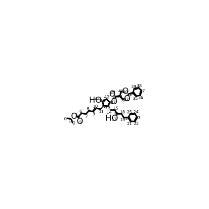 CC(C)OC(=O)CCCC=CC[C@@H]1[C@@H](CC[C@@H](O)CCc2ccccc2)[C@H](OC(=O)C2COC(c3ccccc3)OC2)C[C@@H]1O